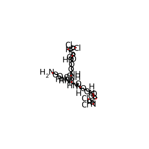 CN1Cc2c(Cl)cc(Cl)cc2[C@H](c2cccc(S(=O)(=O)NCCOCCOCCNC(=O)NCCN(CCNC(=O)NCCOCCOCCN)CCNC(=O)NCCOCCOCCNS(=O)(=O)c3cccc([C@@H]4CN(C)Cc5c(Cl)cc(Cl)cc54)c3)c2)C1